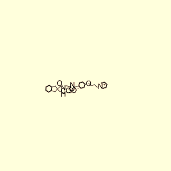 O=C([O-])CC1(C(=O)NCc2nc(-c3ccc(OCCC[n+]4ccccc4)cc3)cs2)Cc2ccccc2C1